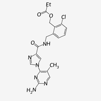 CCC(=O)OCc1c(Cl)cccc1CNC(=O)c1cn(-c2nc(N)ncc2C)cn1